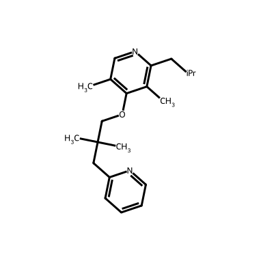 Cc1cnc(CC(C)C)c(C)c1OCC(C)(C)Cc1ccccn1